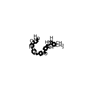 CC1(C)CCC2=C(C1)NNC2c1cc2ccc(C(=O)N3CCC(CN4CCCN(c5cc(C6CCC(=O)NC6=O)ccn5)CC4)CC3)cc2[nH]1